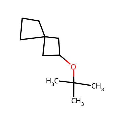 CC(C)(C)OC1CC2(CCC2)C1